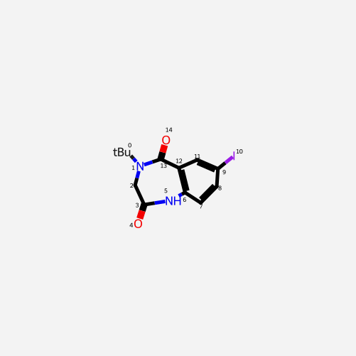 CC(C)(C)N1CC(=O)Nc2ccc(I)cc2C1=O